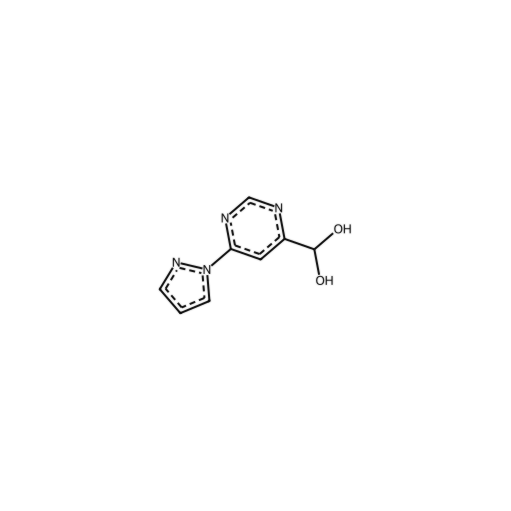 OC(O)c1cc(-n2cccn2)ncn1